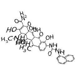 C[C@@H]1c2ccc(NC(=O)Nc3cccc4ccccc34)c(O)c2C(=O)C2=C(O)[C@@]3(O)C(=O)C(C(N)=O)=C(O)[C@H](N(C)C)[C@H]3[C@H](O)[C@@H]21